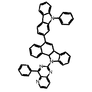 C1=C(c2ccc3c4ccccc4n(-c4ccccc4)c3c2)c2ccccc2C2C1c1ccccc1N2c1nc(-c2ccccc2)c2ncccc2n1